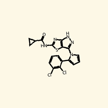 O=C(Nc1nc2[nH]nc(-n3cccc3-c3cccc(Cl)c3Cl)c2s1)C1CC1